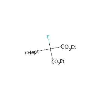 CCCCCCCC(F)(C(=O)OCC)C(=O)OCC